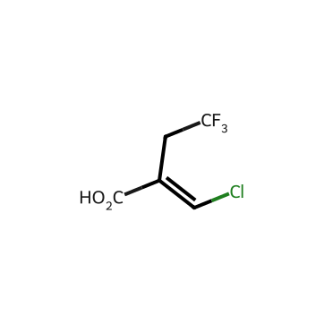 O=C(O)C(=CCl)CC(F)(F)F